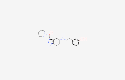 CCCn1nc(C(=O)N2CCCCC2)c2c1CCC(NCCc1cccc(O)c1)C2